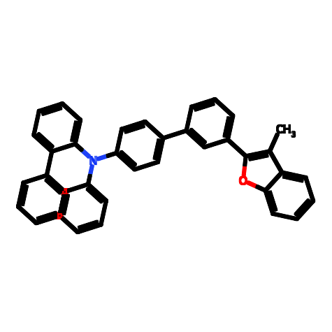 Cc1c(-c2cccc(-c3ccc(N(c4ccccc4)c4ccccc4-c4ccccc4)cc3)c2)oc2ccccc12